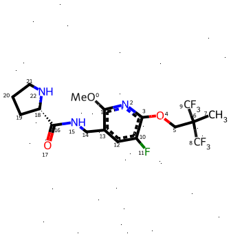 COc1nc(OCC(C)(C(F)(F)F)C(F)(F)F)c(F)cc1CNC(=O)[C@@H]1CCCN1